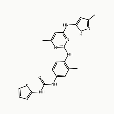 Cc1cc(Nc2cc(C)nc(Nc3ccc(NC(=O)Nc4cccs4)cc3C)n2)[nH]n1